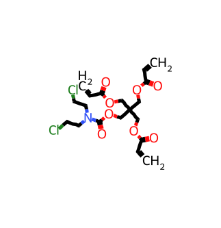 C=CC(=O)OCC(COC(=O)C=C)(COC(=O)C=C)COC(=O)N(CCCl)CCCl